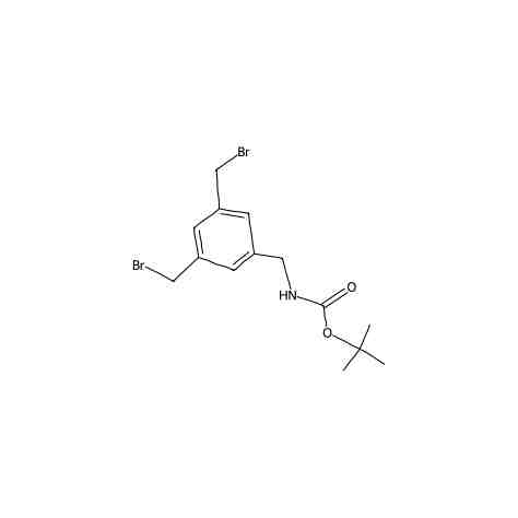 CC(C)(C)OC(=O)NCc1cc(CBr)cc(CBr)c1